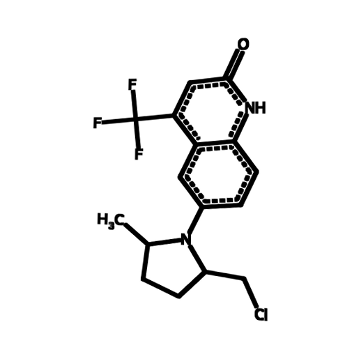 CC1CCC(CCl)N1c1ccc2[nH]c(=O)cc(C(F)(F)F)c2c1